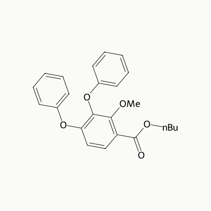 CCCCOC(=O)c1ccc(Oc2ccccc2)c(Oc2ccccc2)c1OC